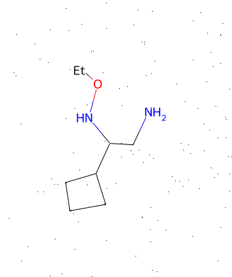 CCONC(CN)C1CCC1